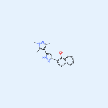 Cc1nn(C)c(C)c1-c1cc(-c2ccc3ccccc3c2O)n[nH]1